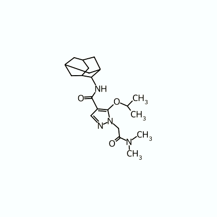 CC(C)Oc1c(C(=O)NC2C3CC4CC(C3)CC2C4)cnn1CC(=O)N(C)C